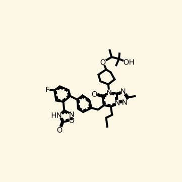 CCCc1c(Cc2ccc(-c3ccc(F)cc3-c3noc(=O)[nH]3)cc2)c(=O)n(C2CCC(OC(C)C(C)(C)O)CC2)c2nc(C)nn12